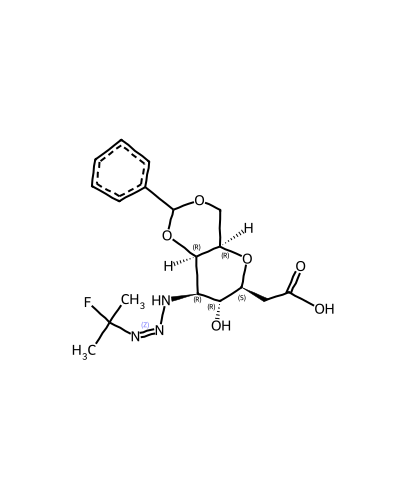 CC(C)(F)/N=N\N[C@@H]1[C@@H](O)[C@H](CC(=O)O)O[C@@H]2COC(c3ccccc3)O[C@H]12